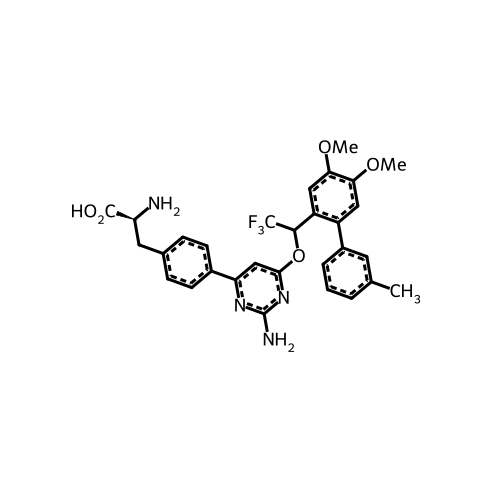 COc1cc(-c2cccc(C)c2)c(C(Oc2cc(-c3ccc(C[C@H](N)C(=O)O)cc3)nc(N)n2)C(F)(F)F)cc1OC